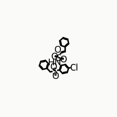 O=S(=O)(Cc1ccccc1)c1ccc(Cl)cc1NS(=O)(=O)c1cc2ccccc2o1